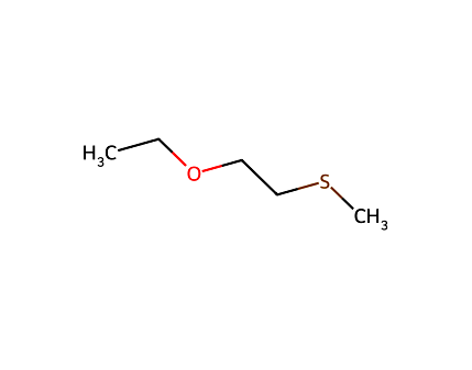 CCOCCSC